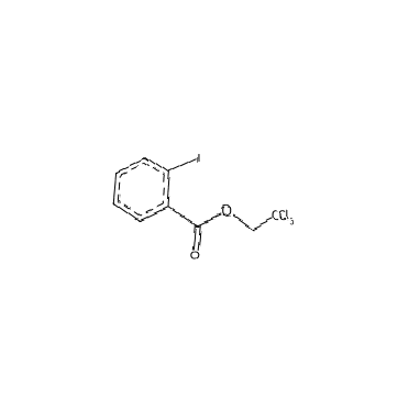 O=C(OCC(Cl)(Cl)Cl)c1ccccc1I